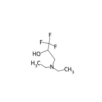 CCN(CC)CC(O)C(F)(F)F